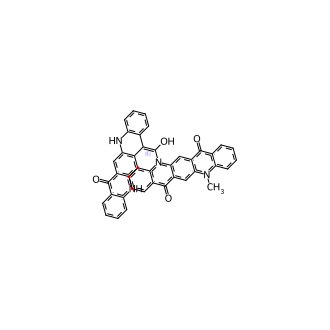 Cn1c2ccccc2c(=O)c2cc3c(cc21)c(=O)c1ccccc1n3/C(O)=C1/c2ccccc2Nc2cc3c(=O)c4ccccc4[nH]c3cc21